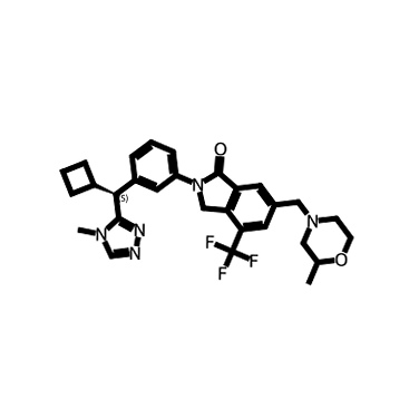 CC1CN(Cc2cc3c(c(C(F)(F)F)c2)CN(c2cccc([C@@H](c4nncn4C)C4CCC4)c2)C3=O)CCO1